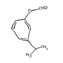 CN(C)c1cccc(OC=O)c1